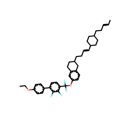 C/C=C/CCC1CCC(/C=C/CCC2CCc3cc(OC(F)(F)c4ccc(-c5ccc(OCC)cc5)c(F)c4F)ccc3C2)CC1